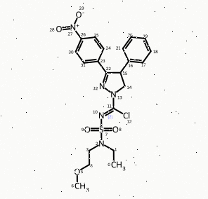 CCN(CCOC)S(=O)(=O)/N=C(\Cl)N1CC(c2ccccc2)C(c2ccc([N+](=O)[O-])cc2)=N1